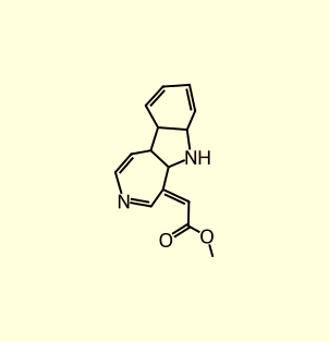 COC(=O)C=C1C=NC=CC2C1NC1C=CC=CC12